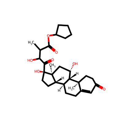 CC(C(=O)OC1CCCC1)C(O)C(=O)[C@@]1(O)CC[C@H]2[C@@H]3CCC4=CC(=O)CC[C@]4(C)[C@H]3[C@@H](O)C[C@@]21C